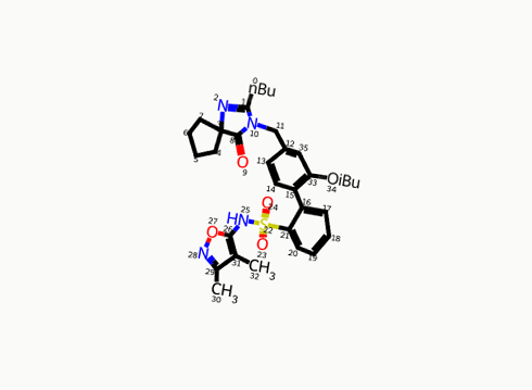 CCCCC1=NC2(CCCC2)C(=O)N1Cc1ccc(-c2ccccc2S(=O)(=O)Nc2onc(C)c2C)c(OCC(C)C)c1